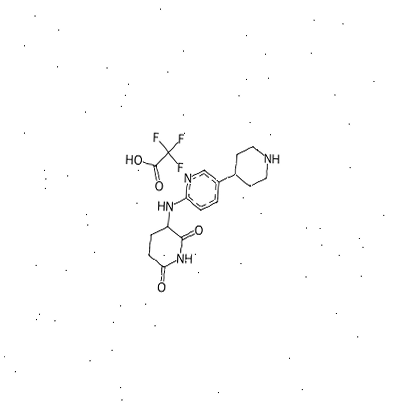 O=C(O)C(F)(F)F.O=C1CCC(Nc2ccc(C3CCNCC3)cn2)C(=O)N1